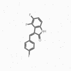 O=C1Nc2ccc(F)c(F)c2/C1=C/c1ccc(F)cc1